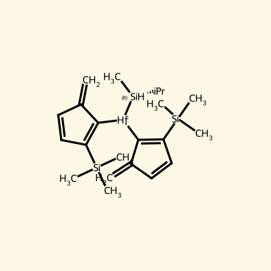 C=C1C=CC([Si](C)(C)C)=[C]1[Hf]([C]1=C([Si](C)(C)C)C=CC1=C)[Si@H](C)C(C)C